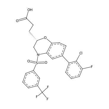 O=C(O)CC[C@H]1CN(S(=O)(=O)c2cccc(C(F)(F)F)c2)c2cc(-c3cccc(F)c3Cl)ccc2O1